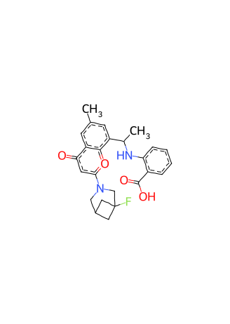 Cc1cc(C(C)Nc2ccccc2C(=O)O)c2oc(N3CC4CC(F)(C4)C3)cc(=O)c2c1